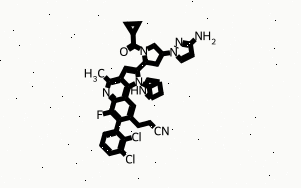 Cc1nc2c(F)c(-c3cccc(Cl)c3Cl)c(CCC#N)cc2c2c1cc(C1CC(n3ccc(N)n3)CN1C(=O)C1CC1)n2C1C2CNC1C2